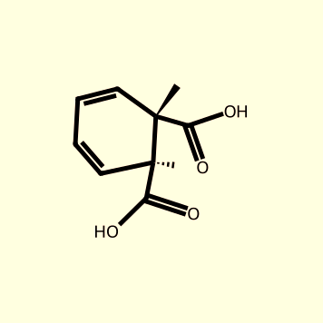 C[C@]1(C(=O)O)C=CC=C[C@]1(C)C(=O)O